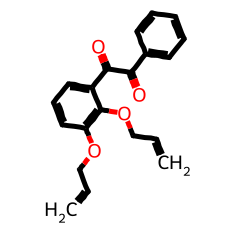 C=CCOc1cccc(C(=O)C(=O)c2ccccc2)c1OCC=C